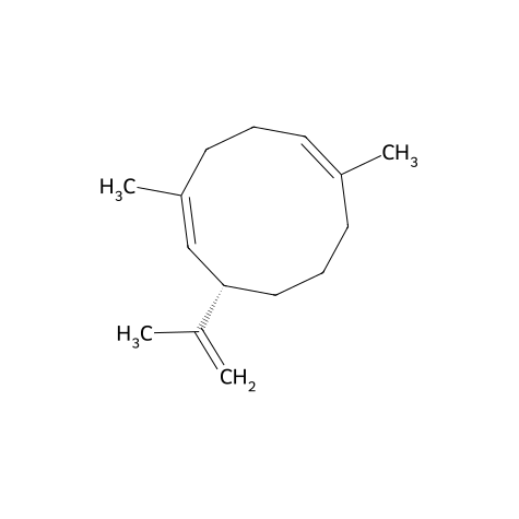 C=C(C)[C@@H]1/C=C(/C)CC/C=C(/C)CCC1